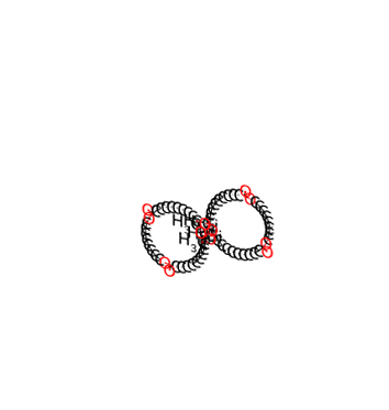 C[Si]12CCCCCCCCCC(=O)OCCCCCCCCOC(=O)CCCCCCCCC[Si](C)(O1)O[Si]1(C)CCCCCCCCCC(=O)OCCCCCCCCOC(=O)CCCCCCCCC[Si](C)(O1)O2